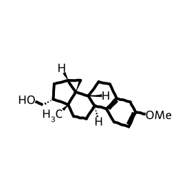 COC1=CCC2=C(CC[C@@H]3[C@@H]2CC[C@]2(C)[C@H](CO)C[C@@H]4C[C@@]432)C1